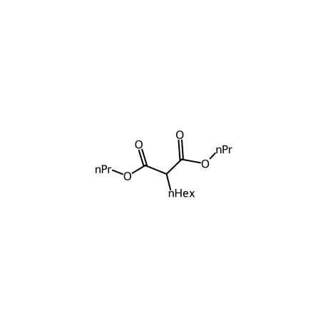 CCCCCCC(C(=O)OCCC)C(=O)OCCC